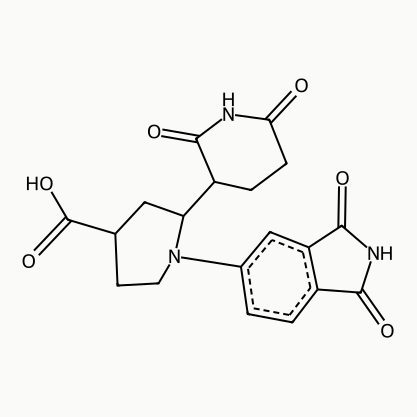 O=C1CCC(C2CC(C(=O)O)CCN2c2ccc3c(c2)C(=O)NC3=O)C(=O)N1